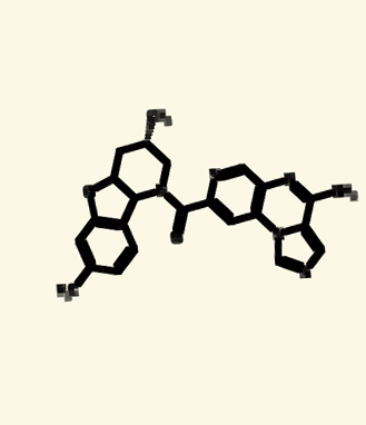 C[C@H]1CC2Oc3cc(C(F)(F)F)ccc3C2N(C(=O)c2cc3c(cn2)nc(N)c2cncn23)C1